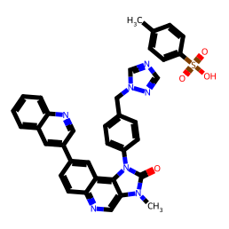 Cc1ccc(S(=O)(=O)O)cc1.Cn1c(=O)n(-c2ccc(Cn3cncn3)cc2)c2c3cc(-c4cnc5ccccc5c4)ccc3ncc21